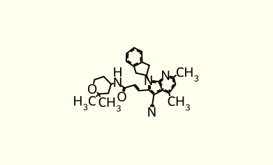 Cc1cc(C)c2c(C#N)c(/C=C/C(=O)NC3CCOC(C)(C)C3)n(C3Cc4ccccc4C3)c2n1